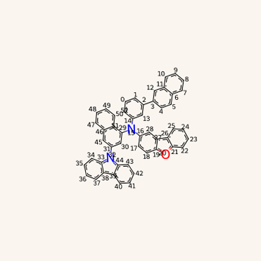 c1cc(-c2ccc3ccccc3c2)cc(N(c2ccc3oc4ccccc4c3c2)c2cc(-n3c4ccccc4c4ccccc43)cc3ccccc23)c1